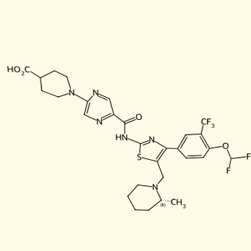 C[C@@H]1CCCCN1Cc1sc(NC(=O)c2cnc(N3CCC(C(=O)O)CC3)cn2)nc1-c1ccc(OC(F)F)c(C(F)(F)F)c1